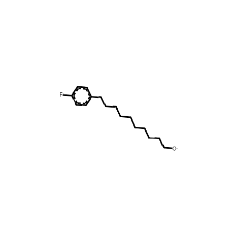 [O]CCCCCCCCCCc1ccc(F)cc1